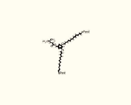 CCCCCC=CCC=CCCCCCCCCOc1cc(COC(=O)CCN(C)C)cc(OCCCCCCCCC=CCC=CCCCCC)c1